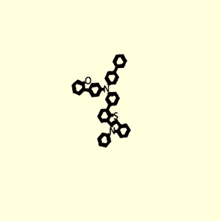 C1=C=CC(n2c3ccccc3c3sc4c(-c5cccc(N(c6ccc(-c7ccccc7)cc6)c6ccc7c(c6)oc6ccccc67)c5)cccc4c32)=CC=1